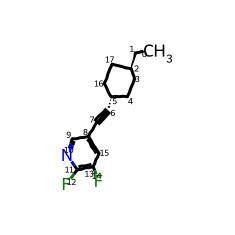 CC[C@H]1CC[C@H](C#Cc2cnc(F)c(F)c2)CC1